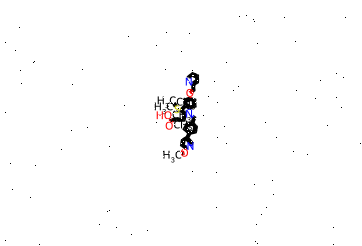 COc1ccc(-c2ccc(CN3c4ccc(OCc5ccccn5)cc4C(SC(C)(C)C)C3CC(C)(C)C(=O)O)cc2)cn1